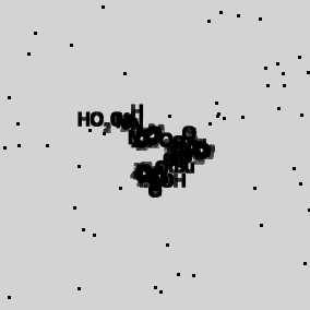 CC(C)(C)OC(=O)[C@H](COc1ccc2c(NC3CN(C(=O)O)C3)nccc2c1)ON1C(=O)c2ccccc2C1=O.O=C1c2ccccc2C(=O)N1O